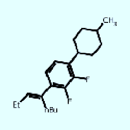 CC/C=C(\CCCC)c1ccc(C2CCC(C)CC2)c(F)c1F